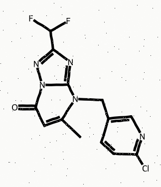 Cc1cc(=O)n2nc(C(F)F)nc2n1Cc1ccc(Cl)nc1